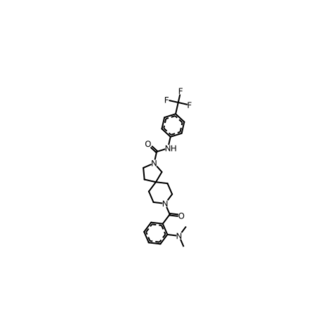 CN(C)c1ccccc1C(=O)N1CCC2(CCN(C(=O)Nc3ccc(C(F)(F)F)cc3)C2)CC1